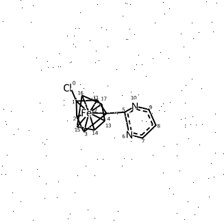 Cl[C]12[CH]3[CH]4[C]5(c6ncccn6)[CH]1[Fe]34251678[CH]2[CH]1[CH]6[CH]7[CH]28